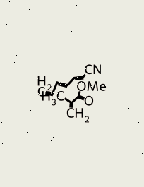 C=C(C)C(=O)OC.C=CC=CC=CC#N